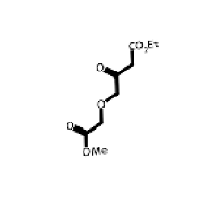 CCOC(=O)CC(=O)COCC(=O)OC